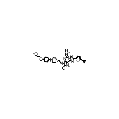 COCCOc1ccc(N2CCN(CCn3c(=O)n(C)c4c3nc(N)n3nc(-c5ccc(C6CC6)o5)nc43)CC2)cc1